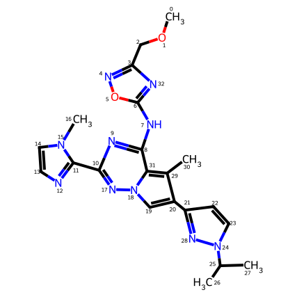 COCc1noc(Nc2nc(-c3nccn3C)nn3cc(-c4ccn(C(C)C)n4)c(C)c23)n1